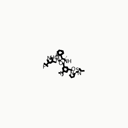 Cc1csc([C@H]2CCCN2C(=O)c2cc(C(=O)N[C@@H](C)[C@@H](CNCc3cncc(C(C)(C)F)c3)c3ccccc3O)cc(N(C)C)c2)n1